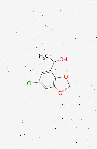 CC(O)c1cc(Cl)cc2c1OCO2